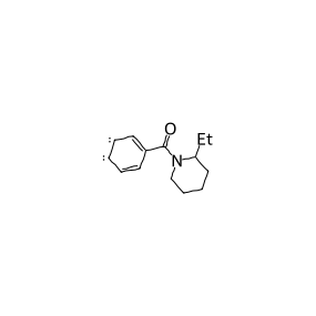 CCC1CCCCN1C(=O)C1=C[C][C]C=C1